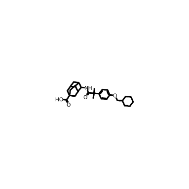 CC(C)(C(=O)NC1C2CC3CC1CC(C(=O)O)(C3)C2)c1ccc(OCC2CCCCC2)cc1